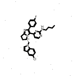 CCCCNc1nccc(-c2c(-c3ccc(F)cc3)nc3n2[C@H](Cn2ccc4cc(Cl)ccc42)CC3)n1